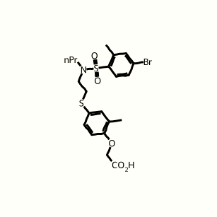 CCCN(CCSc1ccc(OCC(=O)O)c(C)c1)S(=O)(=O)c1ccc(Br)cc1C